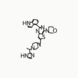 CC(c1ncc[nH]1)N1CCN(Cc2cc3nc(-c4cccc5[nH]ccc45)nc(N4CCOCC4)c3s2)CC1